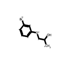 CC(O)COc1cccc(Br)c1